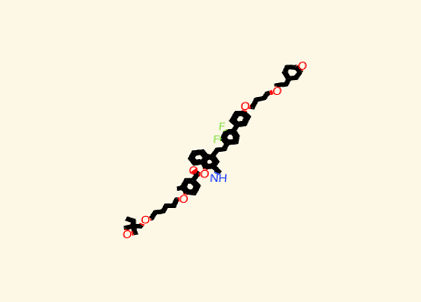 CCC1(COCCCCCCOc2ccc(C(=O)Oc3c(C=N)cc(CCc4ccc(-c5ccc(OCCCCOCCC6CCC7OC7C6)cc5)c(F)c4F)c4ccccc34)cc2C)COC1